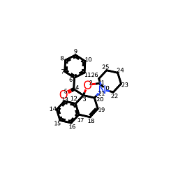 CCOC1(C(=O)c2ccccc2)c2ccccc2C=CC1N1CCCCC1